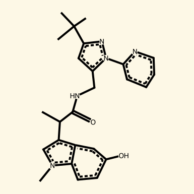 CC(C(=O)NCc1cc(C(C)(C)C)nn1-c1ccccn1)c1cn(C)c2ccc(O)cc12